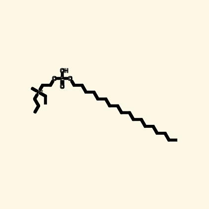 CCCCCCCCCCCCCCCCCCOP(=O)(O)OCC[N+](C)(CC)CCC